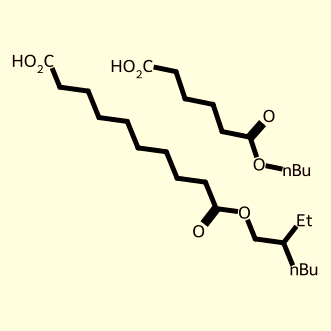 CCCCC(CC)COC(=O)CCCCCCCCC(=O)O.CCCCOC(=O)CCCCC(=O)O